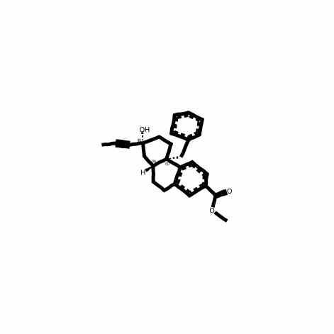 CC#C[C@@]1(O)CC[C@@]2(Cc3ccccc3)c3ccc(C(=O)OC)cc3CC[C@@H]2C1